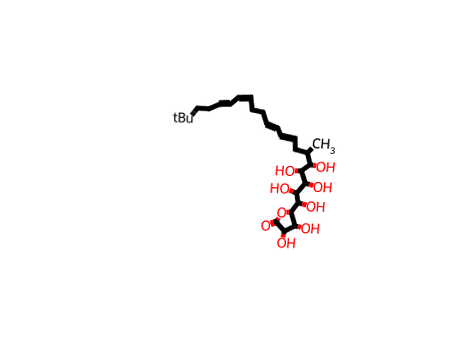 CC(C/C=C/C=C/CC/C=C\C=C\CCC(C)(C)C)C(O)C(O)C(O)C(O)C(O)C1OC(=O)C(O)C1O